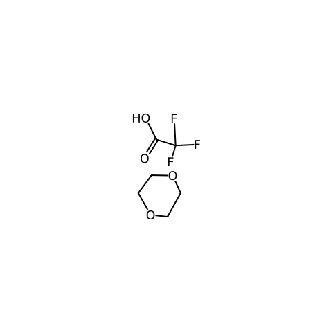 C1COCCO1.O=C(O)C(F)(F)F